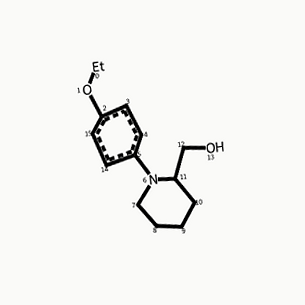 CCOc1ccc(N2CCCCC2CO)cc1